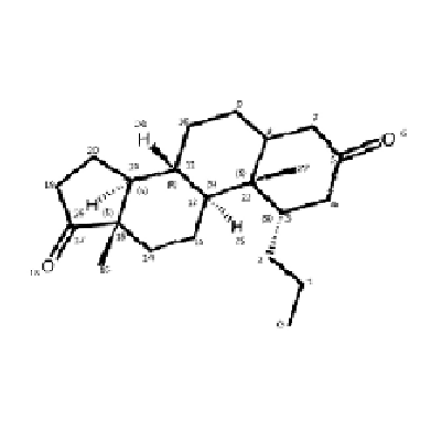 CCC[C@H]1CC(=O)CC2CC[C@@H]3[C@H](CC[C@]4(C)C(=O)CC[C@@H]34)[C@]21C